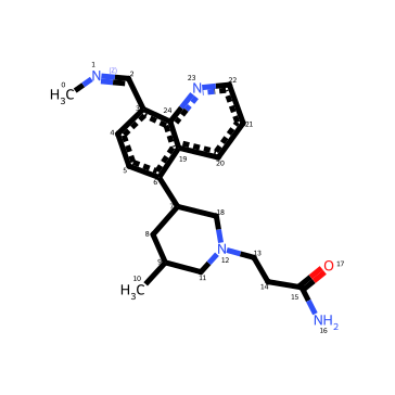 C/N=C\c1ccc(C2CC(C)CN(CCC(N)=O)C2)c2cccnc12